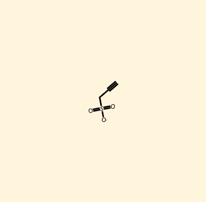 C#CCS([O])(=O)=O